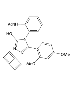 COc1ccc(-c2nnc(O)n2-c2ccccc2NC(C)=O)c(OC)c1.c1cc2ccc1-2